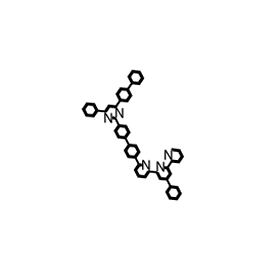 c1ccc(-c2ccc(-c3cc(-c4ccccc4)nc(-c4ccc(-c5ccc(-c6cccc(-c7cc(-c8ccccc8)cc(-c8ccccn8)n7)n6)cc5)cc4)n3)cc2)cc1